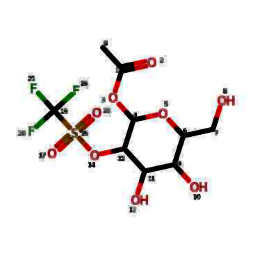 CC(=O)OC1OC(CO)C(O)C(O)C1OS(=O)(=O)C(F)(F)F